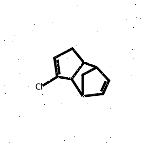 ClC1=CCC2C3C=CC(C3)C12